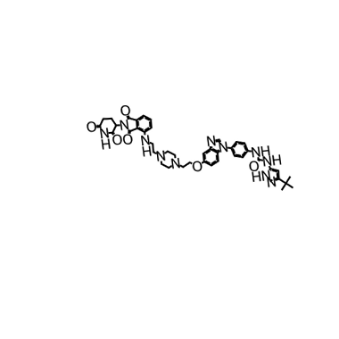 CC(C)(C)c1cc(NC(=O)Nc2ccc(-n3cnc4cc(OCCN5CCN(CCNc6cccc7c6C(=O)N(C6CCC(=O)NC6=O)C7=O)CC5)ccc43)cc2)[nH]n1